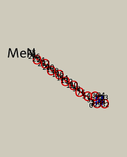 C=C(CCOCCOCCOCCOCCOCCOCCOCCOCCNC)ON1C(=O)CCC1=O